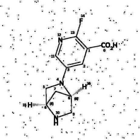 O=C(O)c1cc(N2C[C@H]3C[C@@H]2CN3)cnc1F